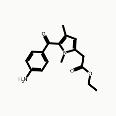 CCOC(=O)Cc1cc(C)c(C(=O)c2ccc(N)cc2)n1C